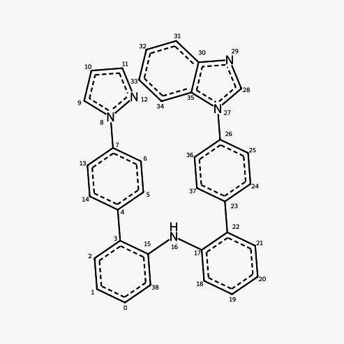 c1ccc(-c2ccc(-n3cccn3)cc2)c(Nc2ccccc2-c2ccc(-n3cnc4ccccc43)cc2)c1